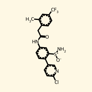 Cc1cc(C(F)(F)F)ccc1CC(=O)Nc1ccc(-c2ccc(Cl)nc2)c([S+](N)[O-])c1